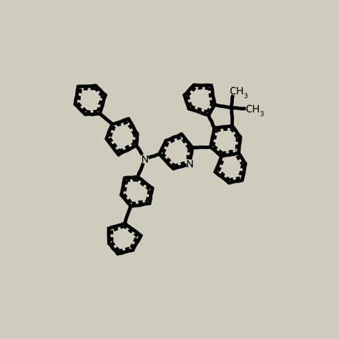 CC1(C)c2ccccc2-c2c1cc1ccccc1c2-c1ccc(N(c2ccc(-c3ccccc3)cc2)c2ccc(-c3ccccc3)cc2)cn1